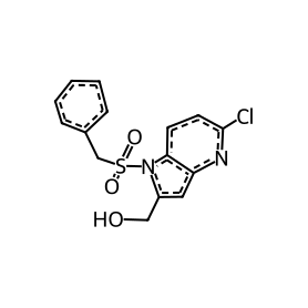 O=S(=O)(Cc1ccccc1)n1c(CO)cc2nc(Cl)ccc21